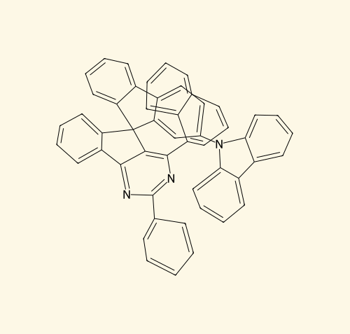 c1ccc(-c2nc3c(c(-c4cccc5ccccc45)n2)C2(c4ccccc4-c4ccc(-n5c6ccccc6c6ccccc65)cc42)c2ccccc2-3)cc1